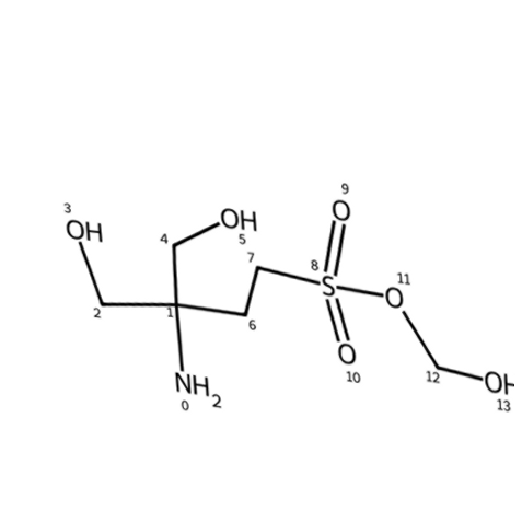 NC(CO)(CO)CCS(=O)(=O)OCO